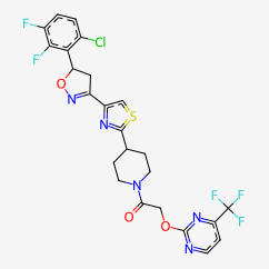 O=C(COc1nccc(C(F)(F)F)n1)N1CCC(c2nc(C3=NOC(c4c(Cl)ccc(F)c4F)C3)cs2)CC1